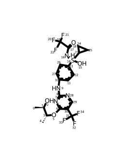 C[C@@H](O)[C@@H](C)Oc1nc(Nc2ccc([SH](O)(=NC(=O)C(F)(F)F)C3CC3)cc2)ncc1C(F)(F)F